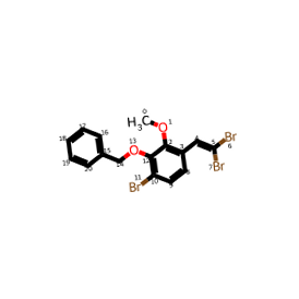 COc1c(C=C(Br)Br)ccc(Br)c1OCc1ccccc1